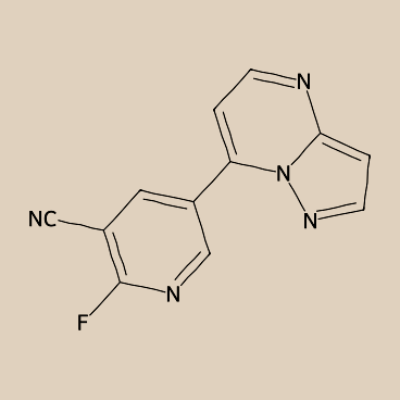 N#Cc1cc(-c2ccnc3ccnn23)cnc1F